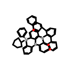 c1ccc(-c2cc3c4c(c2)[Si](c2ccccc2)(C2CCCCC2)c2ccccc2B4c2ccccc2N3c2c(-c3ccccc3)cccc2-c2ccccc2)cc1